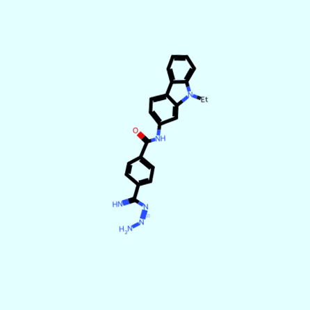 CCn1c2ccccc2c2ccc(NC(=O)c3ccc(C(=N)/N=N\N)cc3)cc21